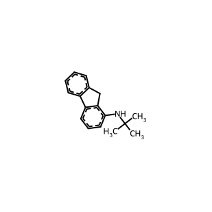 CC(C)(C)Nc1cccc2c1Cc1ccccc1-2